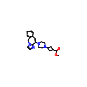 COC(=O)C1CC(N2CCN(C3=Cc4ccccc4Cn4ccnc43)CC2)C1